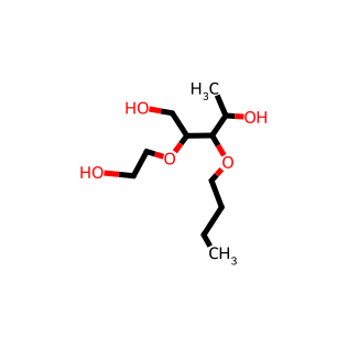 CCCCOC(C(C)O)C(CO)OCCO